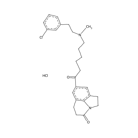 CN(CCCCCC(=O)c1cc2c3c(c1)CCN3C(=O)CC2)CCc1cccc(Cl)c1.Cl